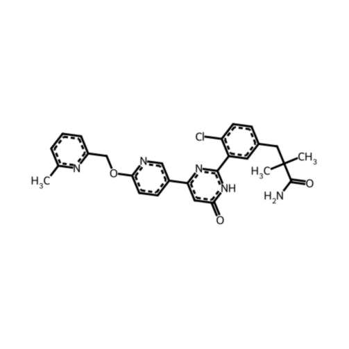 Cc1cccc(COc2ccc(-c3cc(=O)[nH]c(-c4cc(CC(C)(C)C(N)=O)ccc4Cl)n3)cn2)n1